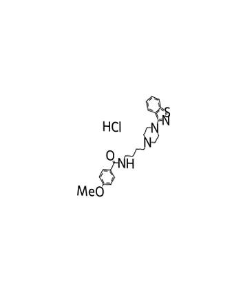 COc1ccc(C(=O)NCCCCN2CCN(c3nsc4ccccc34)CC2)cc1.Cl